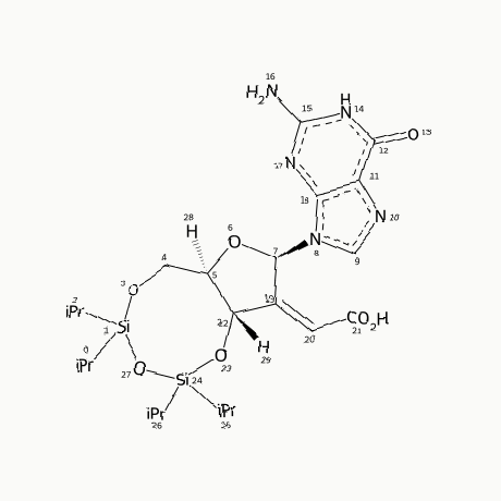 CC(C)[Si]1(C(C)C)OC[C@H]2O[C@@H](n3cnc4c(=O)[nH]c(N)nc43)C(=CC(=O)O)[C@@H]2O[Si](C(C)C)(C(C)C)O1